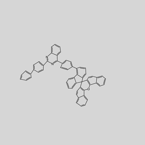 c1ccc(-c2ccc(-c3nc(-c4ccc(-c5cccc6c5-c5ccccc5C65c6ccc7ccccc7c6Oc6c5ccc5ccccc65)cc4)c4ccccc4n3)cc2)cc1